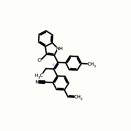 C=Cc1ccc(/C(CC)=C(\c2ccc(C)cc2)c2[nH]c3ccccc3c2Cl)c(C#N)c1